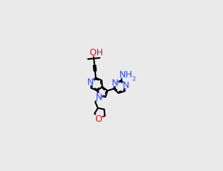 CC(C)(O)C#Cc1cc2c(-c3ccnc(N)n3)cn(CC3CCOC3)c2cn1